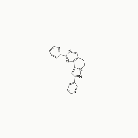 c1ccc(-c2cc3n(n2)CCc2cnc(-c4ccccc4)nc2-3)cc1